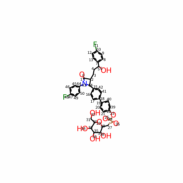 O=C1C(CCC(O)c2ccc(F)cc2)C(c2ccc(-c3ccc(OS(=O)(=O)CC4OC(CO)C(O)C(O)C4O)cc3)cc2)N1c1ccc(F)cc1